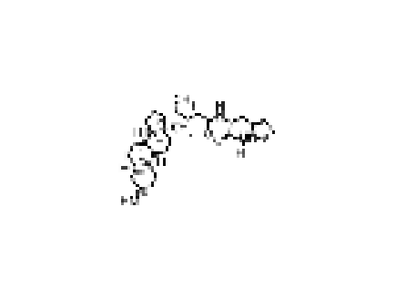 CC(CCC(=O)NC(Cc1cnc[nH]1)C(=O)O)[C@H]1CC[C@H]2[C@@H]3CC[C@@H]4C[C@H](O)CC[C@]4(C)[C@H]3CC[C@]12C